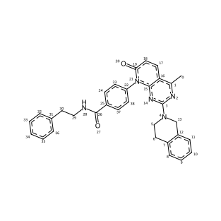 Cc1nc(N2CCc3ccccc3C2)nc2c1ccc(=O)n2-c1ccc(C(=O)NCCc2ccccc2)cc1